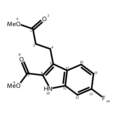 COC(=O)CCc1c(C(=O)OC)[nH]c2cc(F)ccc12